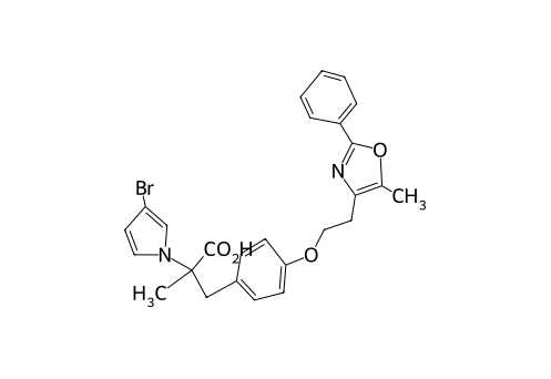 Cc1oc(-c2ccccc2)nc1CCOc1ccc(CC(C)(C(=O)O)n2ccc(Br)c2)cc1